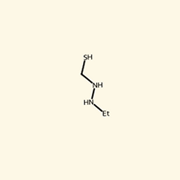 CCNNCS